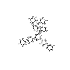 c1ccc(-c2ccc(-c3cc(-n4c5ccccc5c5c4ccc4c6ccccc6n(-c6ccccc6)c45)nc(-c4ccc(-c5ccccc5)cc4)n3)cc2)cc1